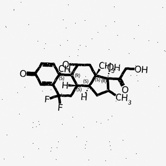 CC1C[C@H]2[C@@H]3CC(F)(F)C4=CC(=O)C=C[C@]4(C)[C@]34OC4C[C@]2(C)[C@@]1(O)C(=O)CO